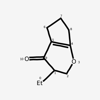 CCC1COC2=C(CCC2)C1=O